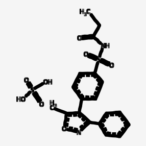 CCC(=O)NS(=O)(=O)c1ccc(-c2c(-c3ccccc3)noc2C)cc1.O=S(=O)(O)O